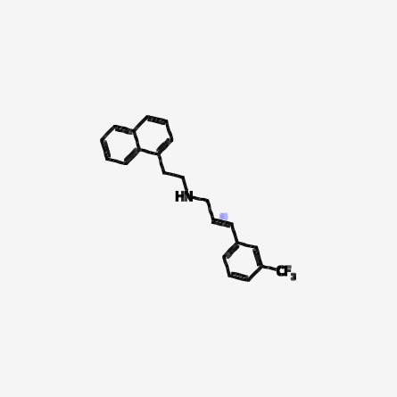 FC(F)(F)c1cccc(/C=C/CNCCc2cccc3ccccc23)c1